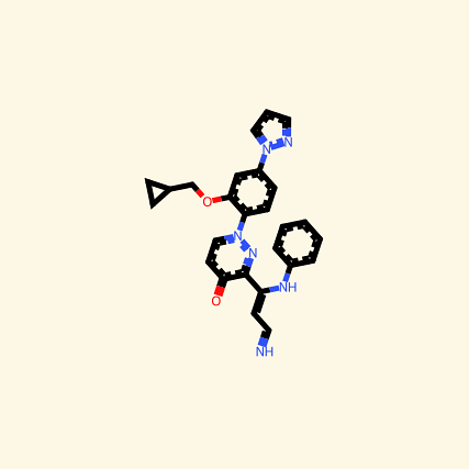 N=C/C=C(\Nc1ccccc1)c1nn(-c2ccc(-n3cccn3)cc2OCC2CC2)ccc1=O